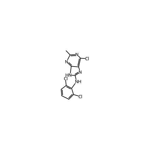 Cc1nc(Cl)c2nc(Nc3c(Cl)cccc3Cl)[nH]c2n1